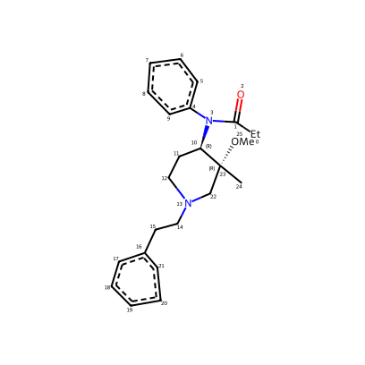 CCC(=O)N(c1ccccc1)[C@@H]1CCN(CCc2ccccc2)C[C@@]1(C)OC